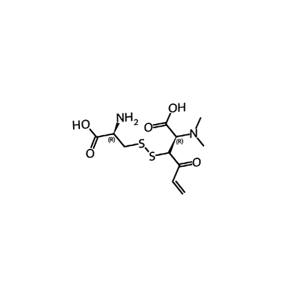 C=CC(=O)C(SSC[C@H](N)C(=O)O)[C@@H](C(=O)O)N(C)C